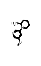 COc1cncc(N2CCCCC2N)c1